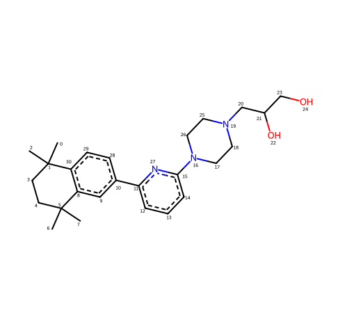 CC1(C)CCC(C)(C)c2cc(-c3cccc(N4CCN(CC(O)CO)CC4)n3)ccc21